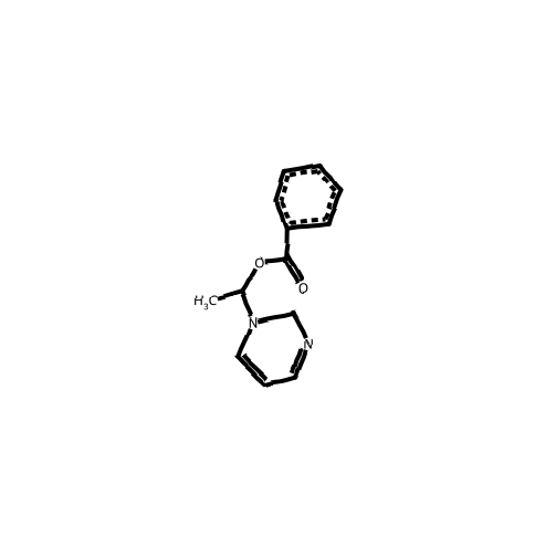 CC(OC(=O)c1ccccc1)N1C=CC=NC1